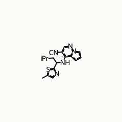 [C-]#[N+]c1cnn2cccc2c1NC(CC(C)C)c1ncc(C)s1